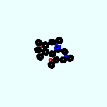 c1ccc(-c2ccc(-c3cccc(-c4cc(-c5cccc(-n6c7ccccc7c7ccc(-c8ccc9oc%10ccccc%10c9c8)cc76)c5)nc(-n5c6ccccc6c6ccc(-c7ccc8oc9ccccc9c8c7)cc65)n4)c3)cc2-c2ccccc2)cc1